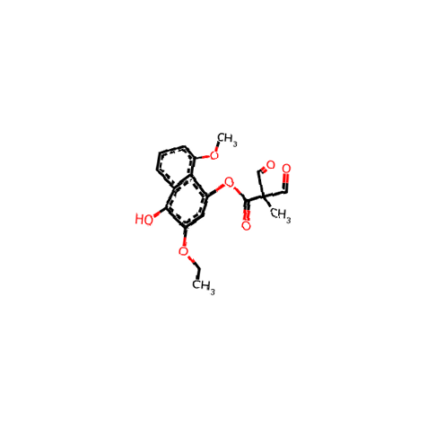 CCOc1cc(OC(=O)C(C)(C=O)C=O)c2c(OC)cccc2c1O